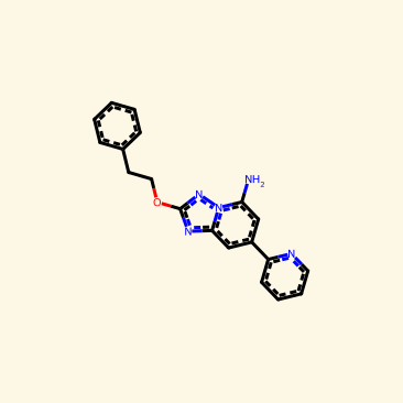 Nc1cc(-c2ccccn2)cc2nc(OCCc3ccccc3)nn12